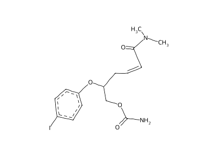 CN(C)C(=O)/C=C\CC(COC(N)=O)Oc1ccc(I)cc1